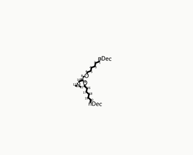 CCCCCCCCCCCCCCCCOC[C@H](CN(C)C)OCCCCCCCCCCCCCCCC